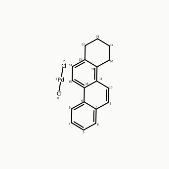 [Cl][Pd][Cl].c1ccc2c(c1)ccc1c3c(ccc12)CCCC3